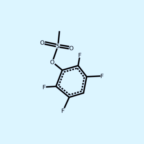 CS(=O)(=O)Oc1c(F)c(F)cc(F)c1F